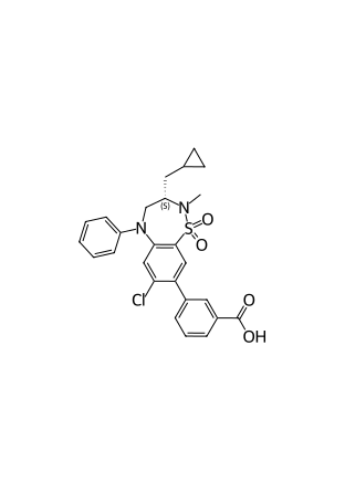 CN1[C@@H](CC2CC2)CN(c2ccccc2)c2cc(Cl)c(-c3cccc(C(=O)O)c3)cc2S1(=O)=O